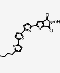 C=CCCCc1ccc(-c2ccc(-c3ccc(-c4cc5c(s4)C(=O)N(CCCCCC)C5=O)s3)s2)s1